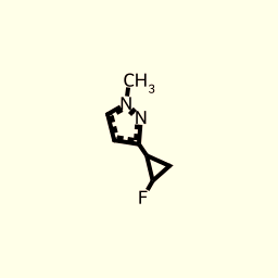 Cn1ccc(C2CC2F)n1